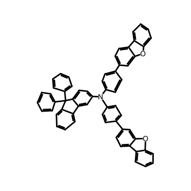 c1ccc(C2(c3ccccc3)c3ccccc3-c3cc(N(c4ccc(-c5ccc6c(c5)oc5ccccc56)cc4)c4ccc(-c5ccc6c(c5)oc5ccccc56)cc4)ccc32)cc1